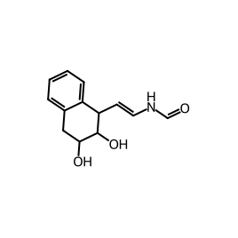 O=CNC=CC1c2ccccc2CC(O)C1O